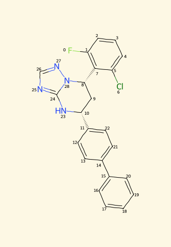 Fc1cccc(Cl)c1[C@@H]1C[C@H](c2ccc(-c3ccccc3)cc2)Nc2ncnn21